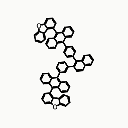 c1cc(-c2ccc3ccccc3c2-c2ccc(-c3c4ccccc4c(-c4cccc5oc6ccccc6c45)c4ccccc34)cc2)cc(-c2c3ccccc3c(-c3cccc4oc5ccccc5c34)c3ccccc23)c1